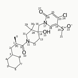 C[C@H](CC1CCCCC1)C(=O)N1CCC(O)(Cn2cc([S+](C)[O-])c(Cl)cc2=O)C(C)(C)C1